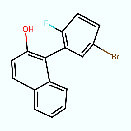 Oc1ccc2ccccc2c1-c1cc(Br)ccc1F